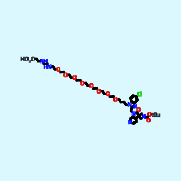 CC(C)(C)OC(=O)N1CC2(C1)C(=O)N(Cc1nc3cc(Cl)ccc3n1CCCCOCCOCCOCCOCCOCCOCCOCCOCCNCCNCCC(=O)O)c1cnccc12